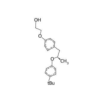 C[C@H](Cc1ccc(OCCO)cc1)Oc1ccc(C(C)(C)C)cc1